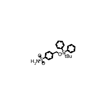 CC(C)(C)[Si](OCc1ccc(S(N)(=O)=O)cc1)(c1ccccc1)c1ccccc1